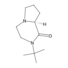 CC(C)(C)N1CCN2CCC[C@H]2C1=O